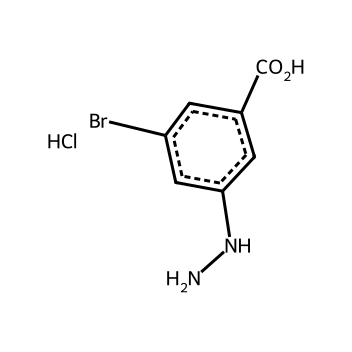 Cl.NNc1cc(Br)cc(C(=O)O)c1